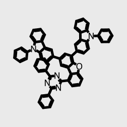 c1ccc(-c2nc(-c3ccccc3)nc(-c3cccc4oc5c(-c6ccc7c(c6)c6ccccc6n7-c6ccccc6)cc(-c6ccc7c(c6)c6ccccc6n7-c6ccccc6)cc5c34)n2)cc1